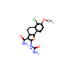 COc1ccc2c(c1Cl)CCc1c-2sc(NC(N)=O)c1C(N)=O